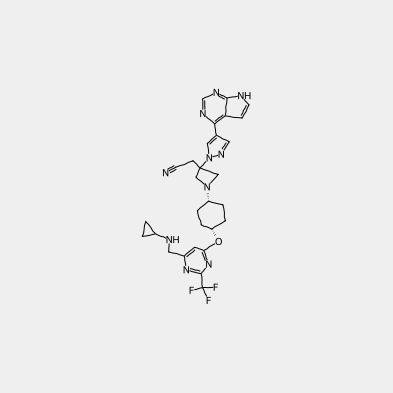 N#CCC1(n2cc(-c3ncnc4[nH]ccc34)cn2)CN([C@H]2CC[C@@H](Oc3cc(CNC4CC4)nc(C(F)(F)F)n3)CC2)C1